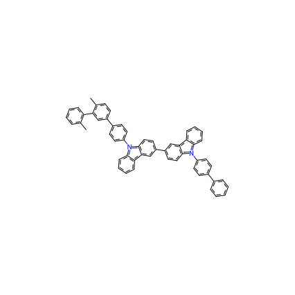 Cc1ccccc1-c1cc(-c2ccc(-n3c4ccccc4c4cc(-c5ccc6c(c5)c5ccccc5n6-c5ccc(-c6ccccc6)cc5)ccc43)cc2)ccc1C